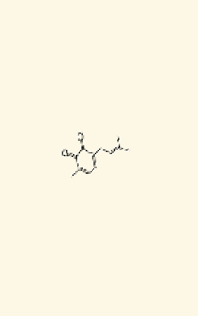 CC(C)=CCC1=CC=C(C)C(=O)C1=O